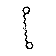 C1=CC(=CCCCOCCCC=C2C=CCCC2)CCC1